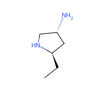 CC[C@@H]1C[C@@H](N)CN1